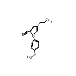 CCCc1cc(C#N)n(-c2ccc(CO)cc2)c1